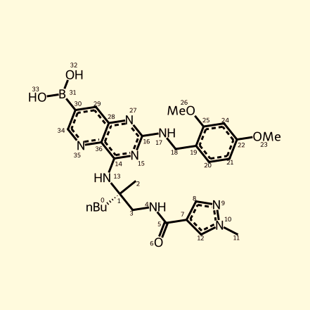 CCCC[C@](C)(CNC(=O)c1cnn(C)c1)Nc1nc(NCc2ccc(OC)cc2OC)nc2cc(B(O)O)cnc12